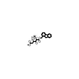 COC(=O)CC(N)C(=O)C(=[N+]=[N-])C(=O)OCc1cccc2c1Cc1ccccc1-2